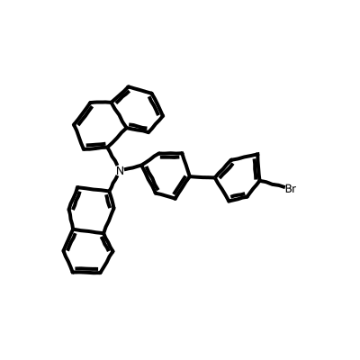 Brc1ccc(-c2ccc(N(c3ccc4ccccc4c3)c3cccc4ccccc34)cc2)cc1